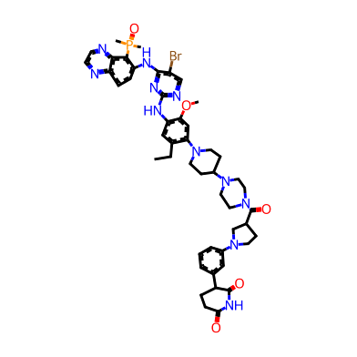 CCc1cc(Nc2ncc(Br)c(Nc3ccc4nccnc4c3P(C)(C)=O)n2)c(OC)cc1N1CCC(N2CCN(C(=O)C3CCN(c4cccc(C5CCC(=O)NC5=O)c4)C3)CC2)CC1